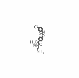 CC(C(=O)NCCN)c1ccc(Oc2nc3ccc(Cl)cc3s2)cc1